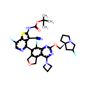 CC(C)(C)OC(=O)Nc1sc2c(F)cnc(-c3c4c(c5c(N6CCC6)nc(OC[C@@]67CCCN6CC(F)C7)nc5c3F)COC4)c2c1C#N